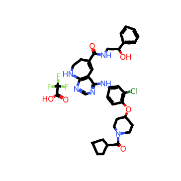 O=C(NCC(O)c1ccccc1)C1=Cc2c(ncnc2Nc2ccc(OC3CCN(C(=O)C4CCCC4)CC3)c(Cl)c2)NCC1.O=C(O)C(F)(F)F